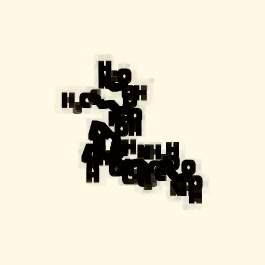 CC(C)[C@H](N)C(=O)O.CSCC[C@H](N)C(=O)O.C[C@@H](O)[C@H](N)C(=O)O.NCC(=O)O.O=C(O)[C@@H]1CCCN1.O=C(O)[C@@H]1CCCN1